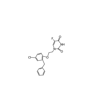 O=c1[nH]c(=O)n(CCOc2ccc(Cl)cc2Cc2ccccc2)cc1F